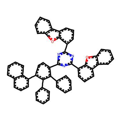 c1ccc(-c2c(-c3nc(-c4cccc5c4oc4ccccc45)nc(-c4cccc5c4oc4ccccc45)n3)ccc(-c3cccc4ccccc34)c2-c2ccccc2)cc1